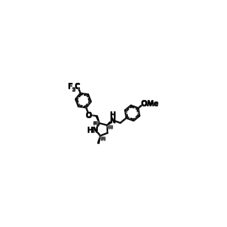 COc1ccc(CN[C@H]2C[C@@H](C)N[C@H]2COc2ccc(C(F)(F)F)cc2)cc1